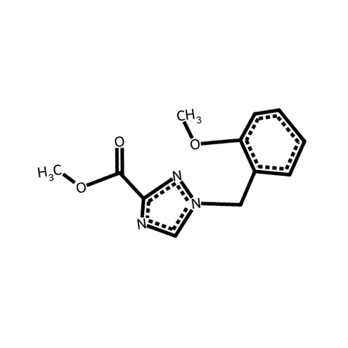 COC(=O)c1ncn(Cc2ccccc2OC)n1